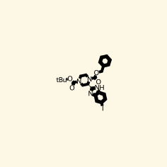 CC(C)(C)OC(=O)N1CCN(C(=O)OCc2ccccc2)[C@H](c2nc3cc(I)ccc3[nH]2)C1